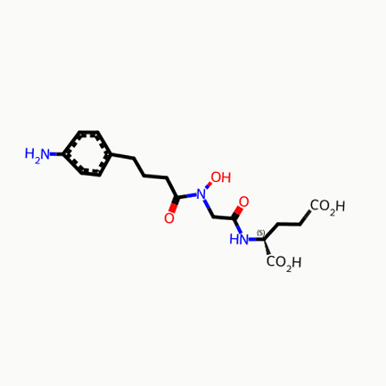 Nc1ccc(CCCC(=O)N(O)CC(=O)N[C@@H](CCC(=O)O)C(=O)O)cc1